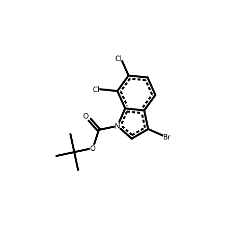 CC(C)(C)OC(=O)n1cc(Br)c2ccc(Cl)c(Cl)c21